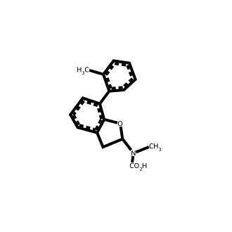 Cc1ccccc1-c1cccc2c1OC(N(C)C(=O)O)C2